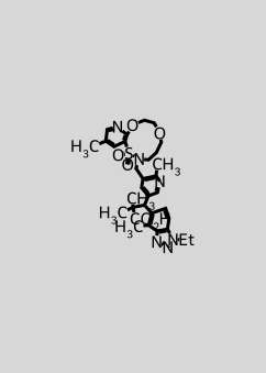 CCn1nnc2c(C)c(C(c3cnc(C)c(CN4CCCOCCOc5ncc(C)cc5S4(=O)=O)c3)C(C)(C)C(=O)O)ccc21